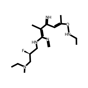 C=N/C(NC[C@H](F)CN(C)CC)=C(/C)C(=N)/C=C(\C)ONCC